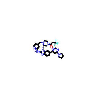 O=C(CC(F)(F)F)N1CCN(Cc2ccnc(Nc3nc4ccc(-c5cc(N6CCCC6)ncn5)cc4[nH]3)c2)CC1